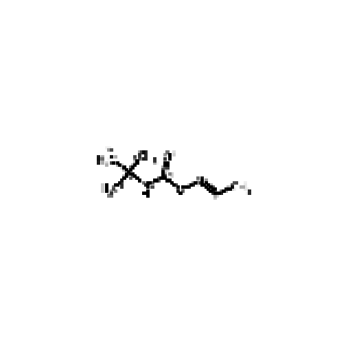 CC=NOC(=O)NC(C)(C)C